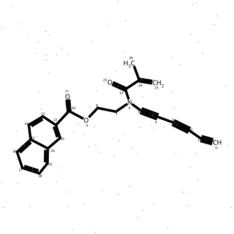 C#CC#CC#CN(CCOC(=O)c1ccc2ccccc2c1)C(=O)C(=C)C